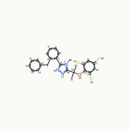 Cn1c(-c2ccccc2Cc2ccccc2)nnc1C(C)(C)Oc1c(F)cc(F)cc1F